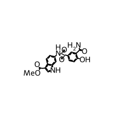 COC(=O)c1c[nH]c2cc(NS(=O)(=O)c3ccc(O)c(C(N)=O)c3)ccc12